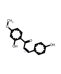 COc1ccc(C(=O)/C=C\c2ccc(O)cc2)c(O)c1